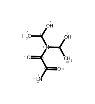 CC(O)N(C(=O)C(N)=O)C(C)O